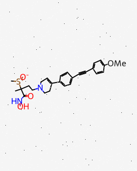 COc1ccc(C#Cc2ccc(C3=CCN(CCC(C)(C(=O)NO)[S+](C)[O-])CC3)cc2)cc1